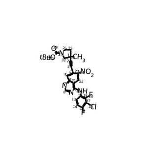 CC1(C#Cc2cc3ncnc(Nc4ccc(F)c(Cl)c4F)c3cc2[N+](=O)[O-])CCN(C(=O)OC(C)(C)C)C1